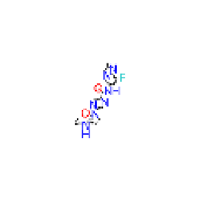 Cc1cn2cc(NC(=O)c3cnc(N4CC[C@@H](NC5CC5)C4=O)cn3)cc(F)c2n1